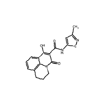 Cc1cc(NC(=O)c2c(O)c3cccc4c3n(c2=O)CCC4)sn1